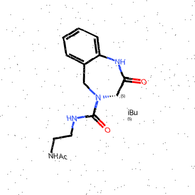 CC[C@H](C)[C@H]1C(=O)Nc2ccccc2CN1C(=O)NCCNC(C)=O